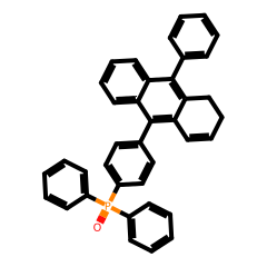 O=P(c1ccccc1)(c1ccccc1)c1ccc(-c2c3c(c(-c4ccccc4)c4ccccc24)CCC=C3)cc1